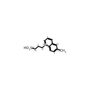 Cc1ccc2c(ccc[n+]2CCCS(=O)(=O)O)c1